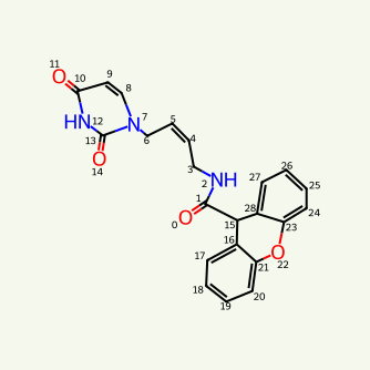 O=C(NC/C=C\Cn1ccc(=O)[nH]c1=O)C1c2ccccc2Oc2ccccc21